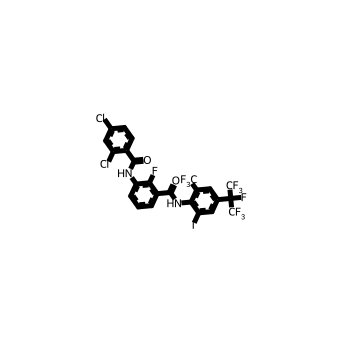 O=C(Nc1cccc(C(=O)Nc2c(I)cc(C(F)(C(F)(F)F)C(F)(F)F)cc2C(F)(F)F)c1F)c1ccc(Cl)cc1Cl